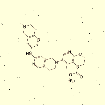 Cc1c(N2CCc3cnc(Nc4cnc5c(c4)CN(C)CC5)cc3C2)cnc2c1N(C(=O)OC(C)(C)C)CCO2